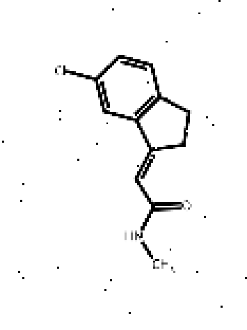 CNC(=O)C=C1CCc2ccc(Cl)cc21